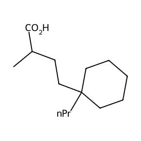 CCCC1(CCC(C)C(=O)O)CCCCC1